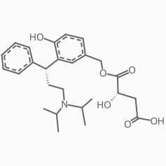 CC(C)N(CC[C@H](c1ccccc1)c1cc(COC(=O)[C@@H](O)CC(=O)O)ccc1O)C(C)C